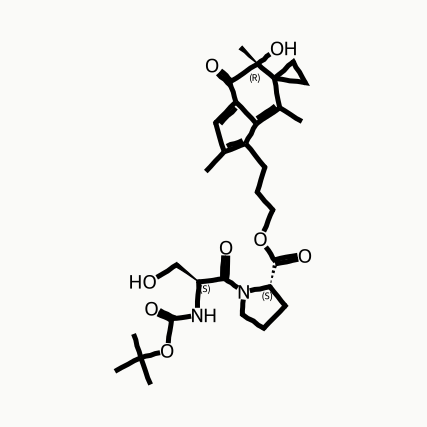 CC1=C(CCCOC(=O)[C@@H]2CCCN2C(=O)[C@H](CO)NC(=O)OC(C)(C)C)C2=C(C)C3(CC3)[C@@](C)(O)C(=O)C2=C1